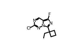 CCC1(c2nc(F)c3cnc(Cl)nn23)CCC1